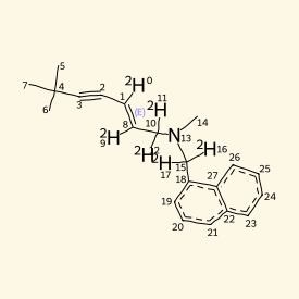 [2H]/C(C#CC(C)(C)C)=C(/[2H])C([2H])([2H])N(C)C([2H])([2H])c1cccc2ccccc12